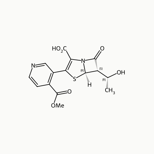 COC(=O)c1ccncc1C1=C(C(=O)O)N2C(=O)[C@H]([C@@H](C)O)[C@H]2S1